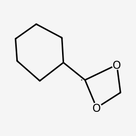 C1CCC([C]2OCO2)CC1